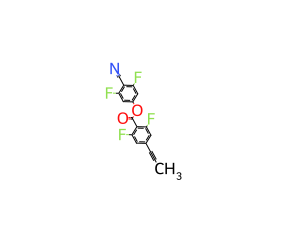 CC#Cc1cc(F)c(C(=O)Oc2cc(F)c(C#N)c(F)c2)c(F)c1